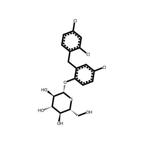 OC[C@H]1S[C@@H](Oc2ccc(Cl)cc2Cc2ccc(Cl)cc2Cl)[C@H](O)[C@@H](O)[C@@H]1O